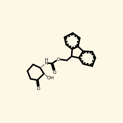 O=C(N[C@H]1CCCC(=O)[C@H]1O)OCC1c2ccccc2-c2ccccc21